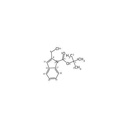 CC(C)(C)OC(=O)n1c(CCl)cc2ccccc21